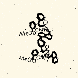 COC(=O)c1cccc([C@@H]2C[C@H](CN[C@H](C)c3cccc4ccccc34)Oc3cc(-c4cccc5c([C@@H](C)NC[C@H]6C[C@H](c7cccc(C(=O)OC)c7OC)c7ccccc7O6)cccc45)ccc32)c1OC